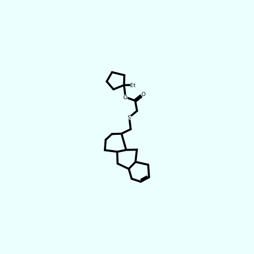 CCC1(OC(=O)CSCC2CCCC3CC4CC=CCC4CC23)CCCC1